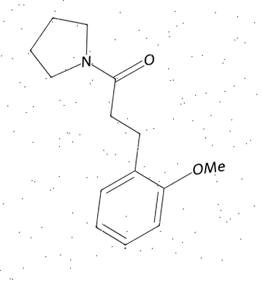 COc1c[c]ccc1CCC(=O)N1CCCC1